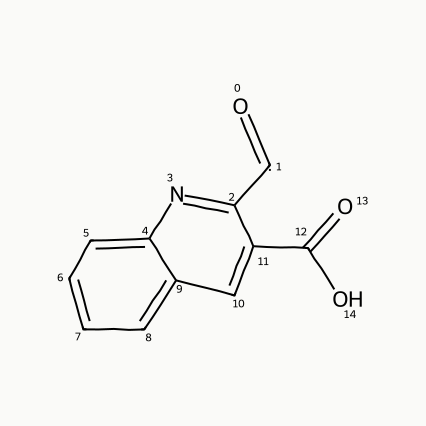 O=[C]c1nc2ccccc2cc1C(=O)O